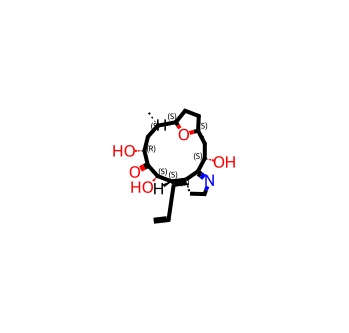 C=CC1=C[C@@H]2[C@H](O)C(=O)[C@H](O)C[C@H](C)[C@@H]3CC[C@@](C)(C[C@H](O)C4=NCC[C@@]42CC1)O3